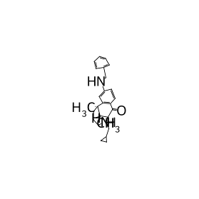 C[C@H]1[C@H]2C(=O)c3ccc(NCc4ccccc4)cc3[C@]1(C)CCCN2CC1CC1